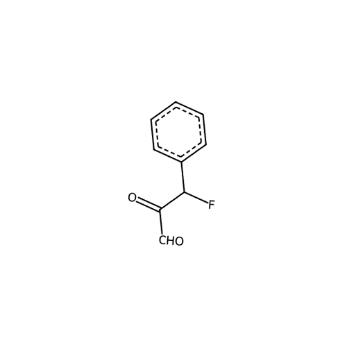 O=CC(=O)C(F)c1ccccc1